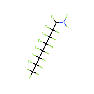 FC(N(F)F)C(F)(F)C(F)(F)C(F)(F)C(F)(F)C(F)(F)C(F)(F)C(F)(F)F